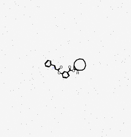 O=C(/C=C/c1ccccc1)Oc1cccc(C(=O)OC2C3CCCCCCCC[C@@H]2C3)c1